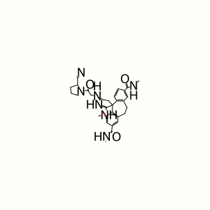 CNC(=N)C1(CCNCC(=O)N2CCCC2C#N)c2ccc(C(=O)NC)cc2CCc2cc(C(=O)NC)ccc21